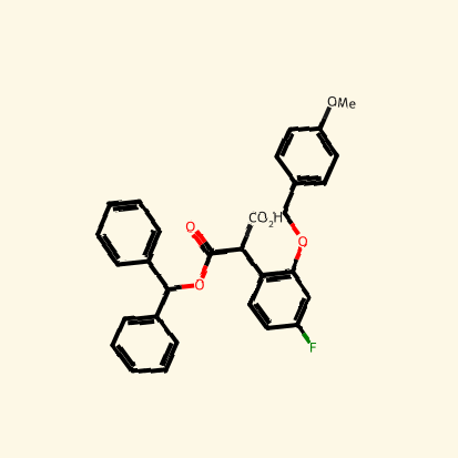 COc1ccc(COc2cc(F)ccc2C(C(=O)O)C(=O)OC(c2ccccc2)c2ccccc2)cc1